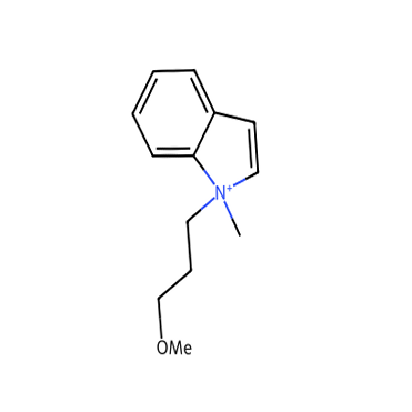 COCCC[N+]1(C)C=Cc2ccccc21